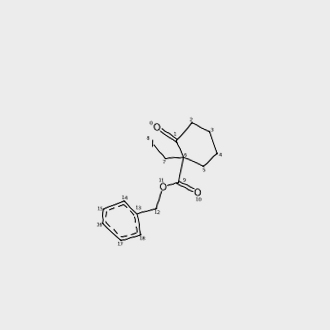 O=C1CCCCC1(CI)C(=O)OCc1ccccc1